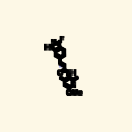 COc1cc(C)c(NC(=O)/C=C/c2ccc3c(F)n[nH]c3c2)c(C)n1